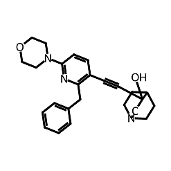 OC1(C#Cc2ccc(N3CCOCC3)nc2Cc2ccccc2)CN2CCC1CC2